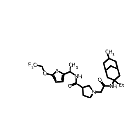 CCC1(NC(=O)CN2CCC(C(=O)NC(C)c3ccc(OCC(F)(F)F)s3)C2)CC2CC(C)CC(C2)C1